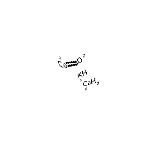 [CaH2].[KH].[O]=[Co]